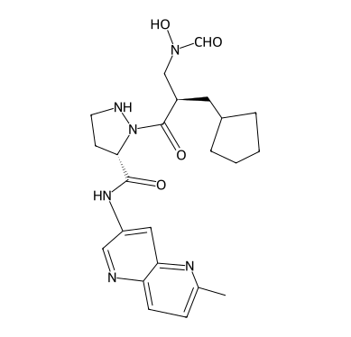 Cc1ccc2ncc(NC(=O)[C@@H]3CCNN3C(=O)[C@H](CC3CCCC3)CN(O)C=O)cc2n1